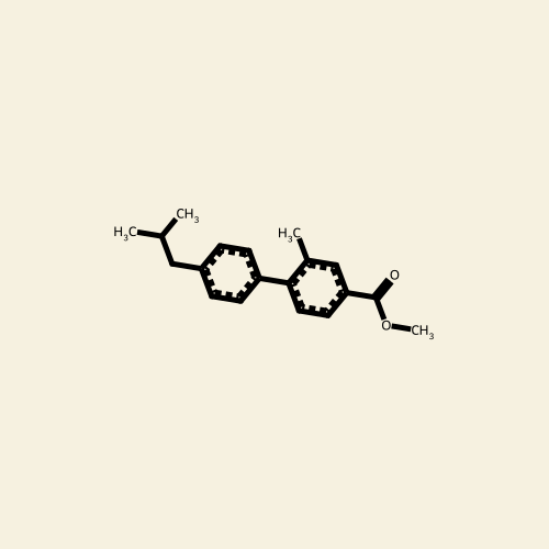 COC(=O)c1ccc(-c2ccc(CC(C)C)cc2)c(C)c1